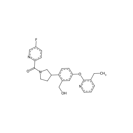 CCc1cccnc1Oc1ccc(C2CCN(C(=O)c3ccc(F)cn3)C2)c(CO)c1